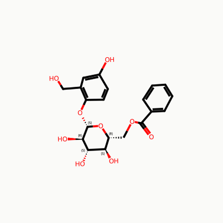 O=C(OC[C@H]1O[C@@H](Oc2ccc(O)cc2CO)[C@H](O)[C@@H](O)[C@@H]1O)c1ccccc1